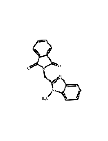 Cn1c(CN2C(=O)c3ccccc3C2=O)nc2ccccc21